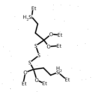 CCOC(CC[SiH2]CC)(OCC)SSSC(CC[SiH2]CC)(OCC)OCC